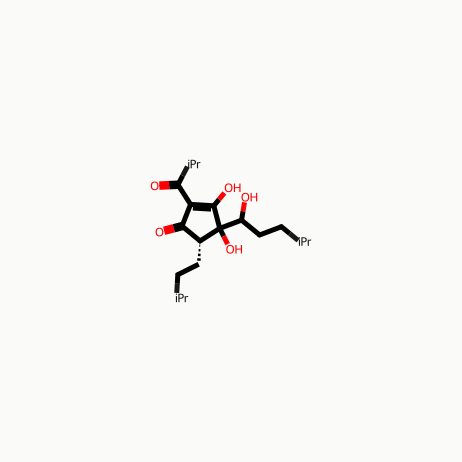 CC(C)CCC(O)C1(O)C(O)=C(C(=O)C(C)C)C(=O)[C@H]1CCC(C)C